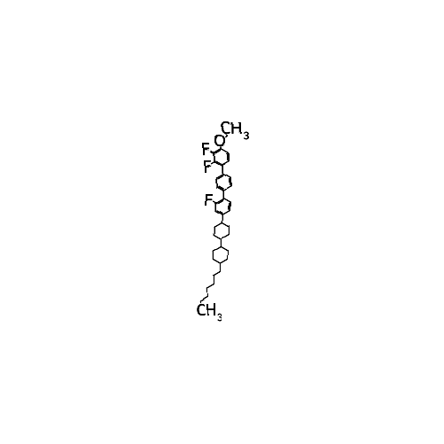 CCCCCCCC1CCC(C2CCC(c3ccc(-c4ccc(-c5ccc(OCC)c(F)c5F)cc4)c(F)c3)CC2)CC1